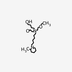 CCOCC[N+](CC=O)(CCCCO)CCCCCCN1CCCCC1C